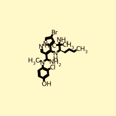 CCCC[C@@H](Nc1c(C(N)N(C)c2ccc(O)cc2Cl)cnn2cc(Br)cc12)C(C)(C)N